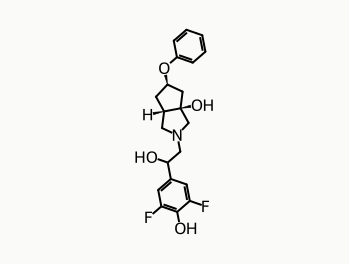 Oc1c(F)cc(C(O)CN2C[C@@H]3C[C@@H](Oc4ccccc4)C[C@]3(O)C2)cc1F